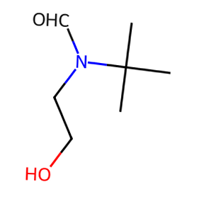 CC(C)(C)N(C=O)CCO